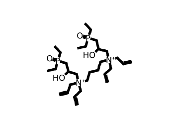 C=CC[N+](CC=C)(CCCC[N+](CC=C)(CC=C)CC(O)CP(=O)(CC)CC)CC(O)CP(=O)(CC)CC